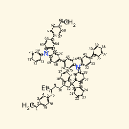 C=Cc1ccc(CC(CC)CCCCC2(c3ccccc3)c3ccccc3-c3ccc(N(c4ccc(-c5ccccc5)cc4)c4ccc(-c5ccc6c(c5)c5cc(-c7ccc(C=C)cc7)ccc5n6-c5ccccc5)cc4)cc32)cc1